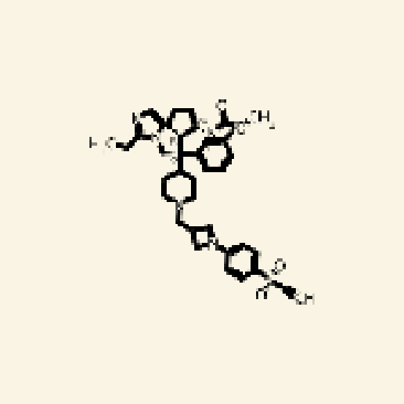 C#CS(=O)(=O)c1ccc(N2CC(CN3CCC([C@@](Cn4ccnc4CC)(c4cccc(F)c4)[C@H]4CCC[C@@H]4NC(=O)OC)CC3)C2)cc1